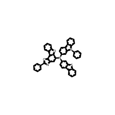 c1ccc(-c2nc3cc(N(c4ccc5c(c4)sc4ccccc45)c4ccc5c6ccccc6n(-c6ccccc6)c5c4)c4oc5ccccc5c4c3o2)cc1